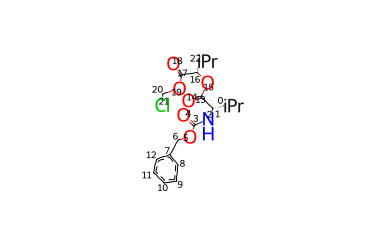 CC(C)[C@H](NC(=O)OCc1ccccc1)C(=O)O[C@H](C(=O)OCCl)C(C)C